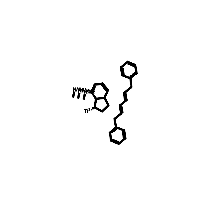 C(C=CCc1ccccc1)=CCc1ccccc1.C[N-]C.C[N-]C.C[N-]C.[Ti+3][CH]1CCC2C=CC=CC12